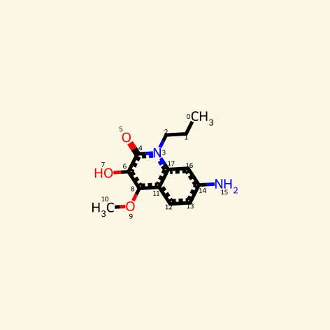 CCCn1c(=O)c(O)c(OC)c2ccc(N)cc21